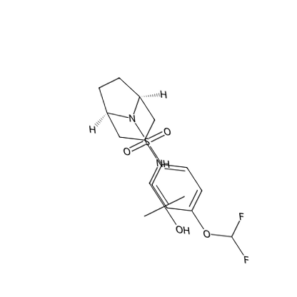 CC(C)(O)CNC1C[C@H]2CC[C@@H](C1)N2S(=O)(=O)c1ccc(OC(F)F)cc1